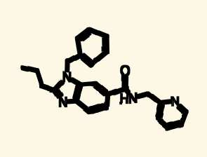 CCCc1nc2ccc(C(=O)NCc3ccccn3)cc2n1Cc1ccccc1